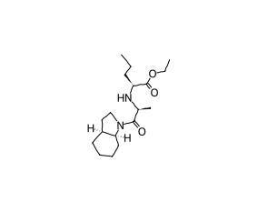 CCC[C@H](N[C@@H](C)C(=O)N1CC[C@@H]2CCCC[C@@H]21)C(=O)OCC